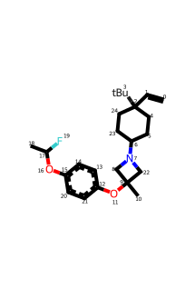 C=CC1(C(C)(C)C)CCC(N2CC(C)(Oc3ccc(OC(C)F)cc3)C2)CC1